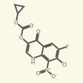 O=C(Oc1c[nH]c2c([N+](=O)[O-])c(Cl)c(F)cc2c1=O)OC1CC1